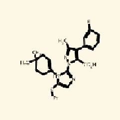 Cc1nn(C2=NC=C(SC(C)C)[SH]2C2=CCC(C)(C)CC2)c(C(=O)O)c1-c1cccc(F)c1